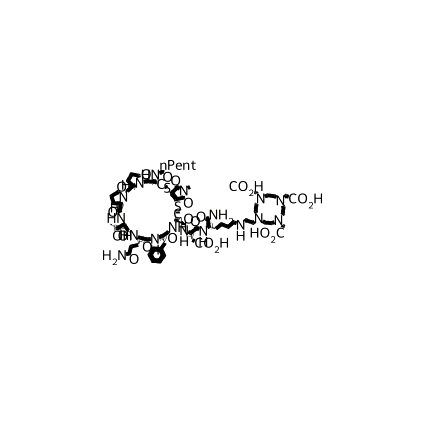 CCCCCC(=O)N[C@H]1CSC2=C(SC[C@@H](C(=O)N[C@@H](CC(=O)O)C(=O)N[C@@H](CCCCNCCN3CCN(CC(=O)O)CCN(CC(=O)O)CCN(CC(=O)O)CC3)C(N)=O)NC(=O)[C@H](Cc3ccccc3)NC(=O)[C@H](CCC(N)=O)NC(=O)[C@H]([C@@H](C)O)NC(=O)[C@@H]3CCCN3C(=O)[C@@H]3CCCN3C1=O)C(=O)N(C)C2=O